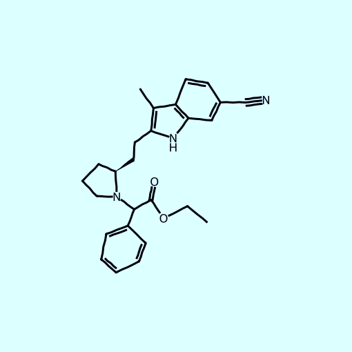 CCOC(=O)C(c1ccccc1)N1CCC[C@H]1CCc1[nH]c2cc(C#N)ccc2c1C